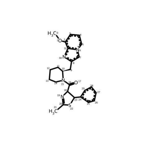 COc1cccn2cc(C[C@@H]3CCCCN3C(=O)C3N=C(C)SC3c3ccccc3)nc12